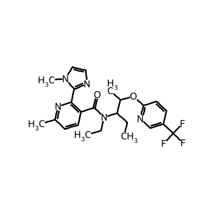 CCC(C(C)Oc1ccc(C(F)(F)F)cn1)N(CC)C(=O)c1ccc(C)nc1-c1nccn1C